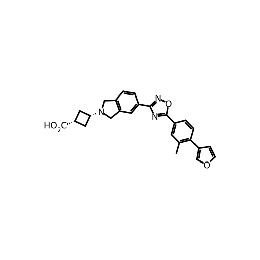 Cc1cc(-c2nc(-c3ccc4c(c3)CN([C@H]3C[C@@H](C(=O)O)C3)C4)no2)ccc1-c1ccoc1